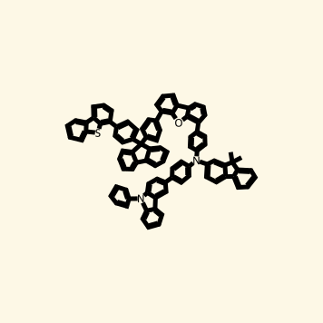 CC1(C)c2ccccc2-c2ccc(N(c3ccc(-c4ccc5c(c4)c4ccccc4n5-c4ccccc4)cc3)c3ccc(-c4cccc5c4oc4c(-c6ccc(C7(c8ccc(-c9cccc%10c9sc9ccccc9%10)cc8)c8ccccc8-c8ccccc87)cc6)cccc45)cc3)cc21